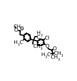 CCC(CC)(c1ccc(CC(=O)OC)c(C)c1)c1ccc(OCC(=O)C(C)(C)C)c(Cl)c1